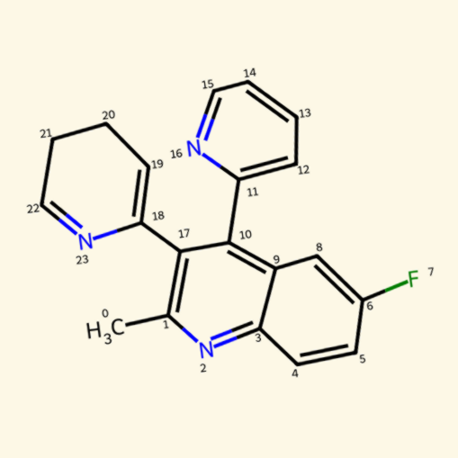 Cc1nc2ccc(F)cc2c(-c2ccccn2)c1C1=CCCC=N1